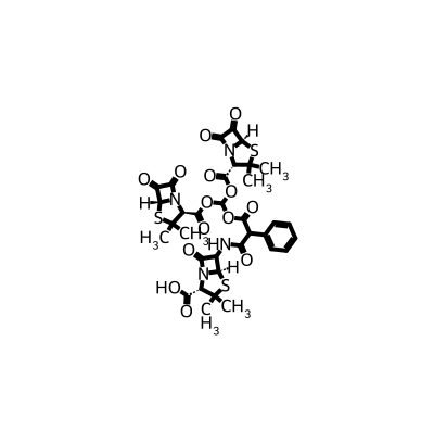 CC1(C)S[C@@H]2C(=O)C(=O)N2[C@H]1C(=O)OC(OC(=O)C(C(=O)NC1C(=O)N2[C@@H]1SC(C)(C)[C@@H]2C(=O)O)c1ccccc1)OC(=O)[C@@H]1N2C(=O)C(=O)[C@H]2SC1(C)C